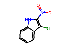 O=[N+]([O-])c1[nH]c2ccccc2c1Cl